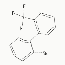 FC(F)(F)c1[c]cccc1-c1ccccc1Br